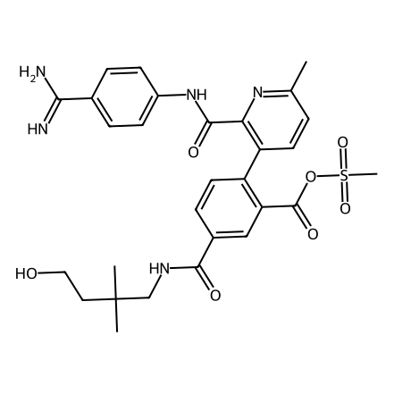 Cc1ccc(-c2ccc(C(=O)NCC(C)(C)CCO)cc2C(=O)OS(C)(=O)=O)c(C(=O)Nc2ccc(C(=N)N)cc2)n1